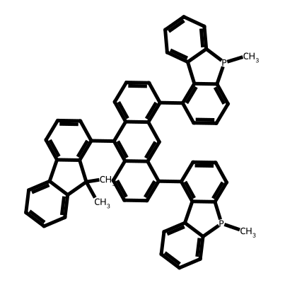 Cp1c2ccccc2c2c(-c3cccc4c(-c5cccc6c5C(C)(C)c5ccccc5-6)c5cccc(-c6cccc7c6c6ccccc6p7C)c5cc34)cccc21